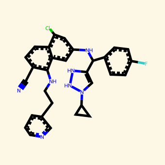 N#Cc1ccc2c(Cl)cc(NC(C3=CN(C4CC4)NN3)c3ccc(F)cc3)cc2c1NCCc1cccnc1